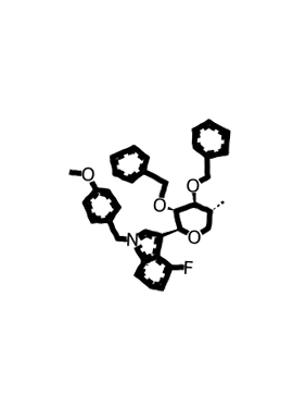 COc1ccc(Cn2cc([C@@H]3OC[C@@H](C)[C@H](OCc4ccccc4)[C@H]3OCc3ccccc3)c3c(F)cccc32)cc1